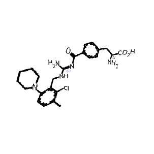 Cc1ccc(N2CCCCC2)c(CN/C(N)=N/C(=O)c2ccc(C[C@H](N)C(=O)O)cc2)c1Cl